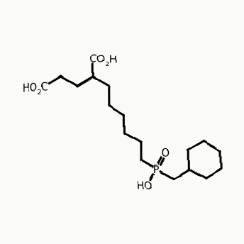 O=C(O)CCC(CCCCCCP(=O)(O)CC1CCCCC1)C(=O)O